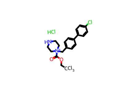 Cl.O=C(OCC(Cl)(Cl)Cl)[N+]1(Cc2ccc(-c3ccc(Cl)cc3)cc2)CCNCC1